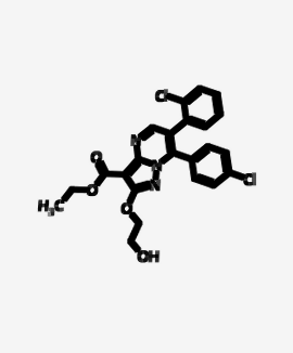 CCOC(=O)c1c(OCCO)nn2c(-c3ccc(Cl)cc3)c(-c3ccccc3Cl)cnc12